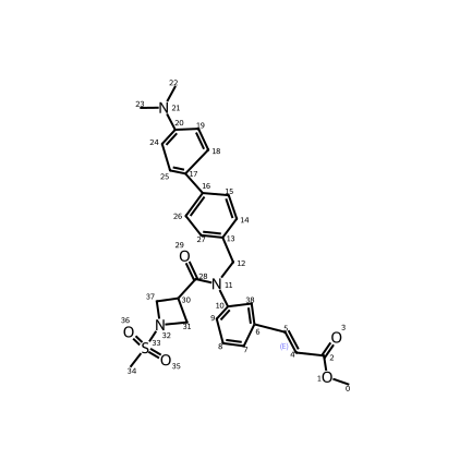 COC(=O)/C=C/c1cccc(N(Cc2ccc(-c3ccc(N(C)C)cc3)cc2)C(=O)C2CN(S(C)(=O)=O)C2)c1